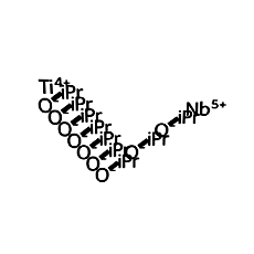 CC(C)[O-].CC(C)[O-].CC(C)[O-].CC(C)[O-].CC(C)[O-].CC(C)[O-].CC(C)[O-].CC(C)[O-].CC(C)[O-].[Nb+5].[Ti+4]